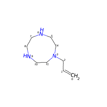 C=CCN1[CH][CH]NCCNCC1